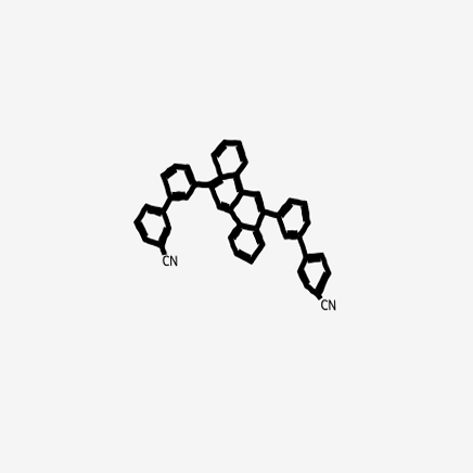 N#Cc1ccc(-c2cccc(-c3cc4c5ccccc5c(-c5cccc(-c6cccc(C#N)c6)c5)cc4c4ccccc34)c2)cc1